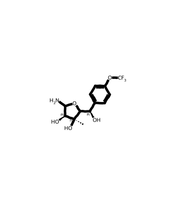 C[C@@]1(O)C([C@H](O)c2ccc(OC(F)(F)F)cc2)OC(N)[C@@H]1O